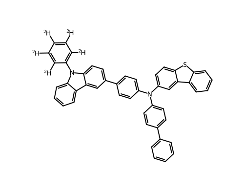 [2H]c1c([2H])c([2H])c(-n2c3ccccc3c3cc(-c4ccc(N(c5ccc(-c6ccccc6)cc5)c5ccc6sc7ccccc7c6c5)cc4)ccc32)c([2H])c1[2H]